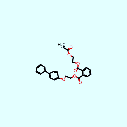 C=CC(=O)OCCOC(=O)c1ccccc1C(=O)OCCOc1ccc(-c2ccccc2)cc1